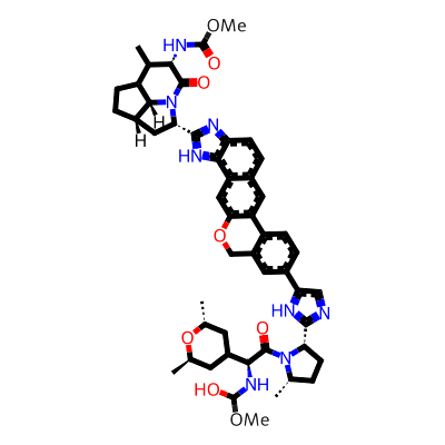 COC(=O)N[C@@H]1C(=O)N2[C@H](c3nc4ccc5cc6c(cc5c4[nH]3)OCc3cc(-c4cnc([C@@H]5CC[C@H](C)N5C(=O)[C@@H](NC(O)OC)C5C[C@@H](C)O[C@H](C)C5)[nH]4)ccc3-6)C[C@@H]3CCC(C1C)[C@@H]32